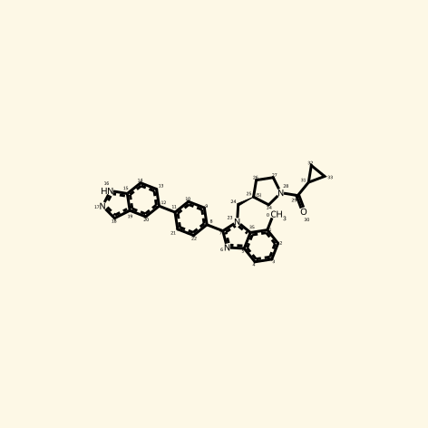 Cc1cccc2nc(-c3ccc(-c4ccc5[nH]ncc5c4)cc3)n(C[C@H]3CCN(C(=O)C4CC4)C3)c12